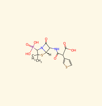 CC1(C)S[C@H]2C(NC(=O)C(C(=O)O)c3ccsc3)C(=O)N2C1P(=O)(O)O